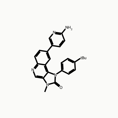 Cn1c(=O)n(-c2ccc(C(C)(C)C)cc2)c2c3cc(-c4ccc(N)nc4)ccc3ncc21